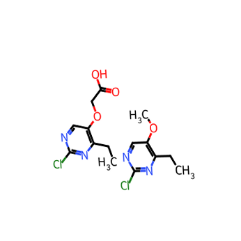 CCc1nc(Cl)ncc1OC.CCc1nc(Cl)ncc1OCC(=O)O